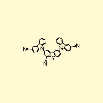 N#Cc1ccc2c(c1)c1ccccc1n2-c1ccc2sc3c(C#N)cc(-n4c5ccccc5c5cc(C#N)ccc54)cc3c2c1